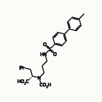 Cc1ccc(-c2ccc(S(=O)(=O)NCCCN(C(=O)O)[C@@H](CC(C)C)C(=O)O)cc2)cc1